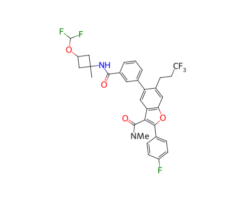 CNC(=O)c1c(-c2ccc(F)cc2)oc2cc(CCC(F)(F)F)c(-c3cccc(C(=O)NC4(C)CC(OC(F)F)C4)c3)cc12